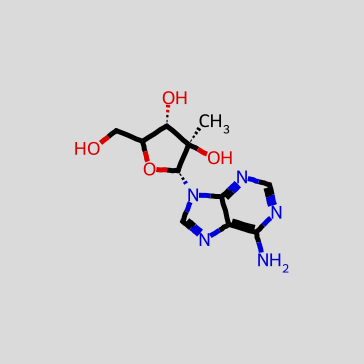 C[C@@]1(O)[C@@H](O)C(CO)O[C@H]1n1cnc2c(N)ncnc21